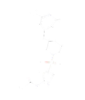 CC(=O)Nc1ncc(S(=O)(=O)N2CCCC(Cc3cc(C)nc(C)c3)C2)s1